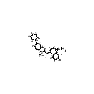 CN1C=CC(=Cc2sc3cc(-c4ccccc4)ccc3[n+]2C)c2ccccc21